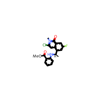 COC(=O)c1ccccc1N[C@H](C)c1cc(F)cc2c(=O)n(C)c(Cl)cc12